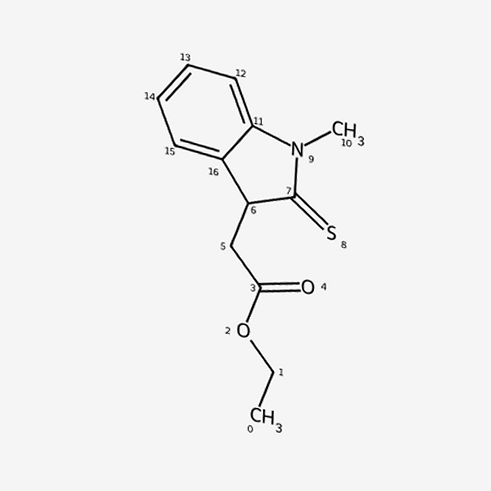 CCOC(=O)CC1C(=S)N(C)c2ccccc21